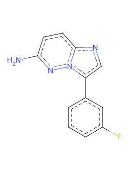 Nc1ccc2ncc(-c3cccc(F)c3)n2n1